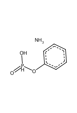 N.O=[PH](O)Oc1ccccc1